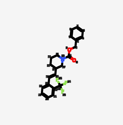 O=C(OCc1ccccc1)N1CCCC(/C=C/c2ccccc2C(F)(F)F)C1